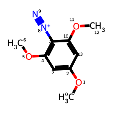 COc1cc(OC)c([N+]#N)c(OC)c1